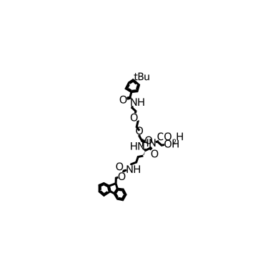 CC(C)(C)c1ccc(C(=O)NCCOCCOCC(=O)N[C@@H](CCCCNC(=O)OCC2c3ccccc3-c3ccccc32)C(=O)N[C@@H](CO)C(=O)O)cc1